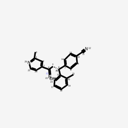 Cc1cc(/C(C[C@H](c2ccc(C#N)cc2)c2ccccc2C)=N/O)ccn1